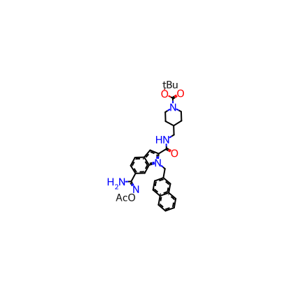 CC(=O)ON=C(N)c1ccc2cc(C(=O)NCC3CCN(C(=O)OC(C)(C)C)CC3)n(Cc3ccc4ccccc4c3)c2c1